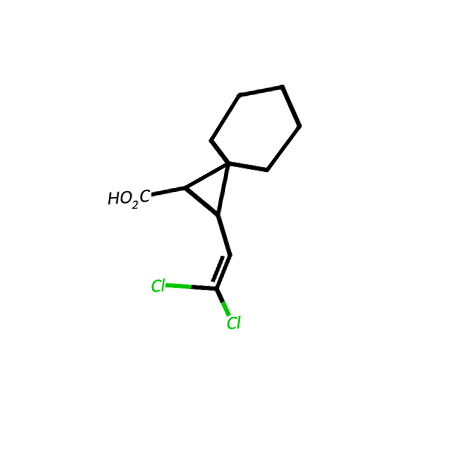 O=C(O)C1C(C=C(Cl)Cl)C12CCCCC2